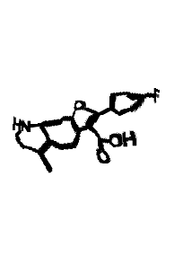 C=C1CCNc2cc3oc(-c4ccc(F)cc4)c(C(=O)O)c3cc21